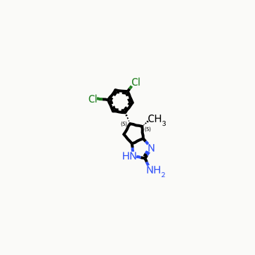 C[C@@H]1C2N=C(N)NC2C[C@@H]1c1cc(Cl)cc(Cl)c1